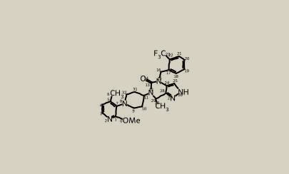 COc1nccc(C)c1N1CCC(N2C(=O)N(Cc3ccccc3C(F)(F)F)c3c[nH]nc3C2C)CC1